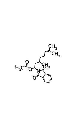 CC(=O)OC(CC(C)CCC=C(C)C)N1C(=O)c2ccccc2C1=O